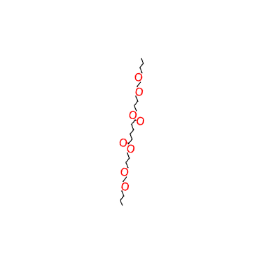 CCCCOCCOCCCCOC(=O)CCCCC(=O)OCCCCOCCOCCCC